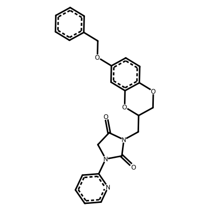 O=C1CN(c2ccccn2)C(=O)N1CC1COc2ccc(OCc3ccccc3)cc2O1